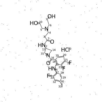 Cl.O=C(CCN(CCO)CCO)NC1CN(C(=O)c2ccc(F)c(F)c2Nc2ccc(I)cc2F)C1